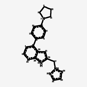 c1cc(-c2ccc(N3CCCC3)cc2)c2cc(Cn3nccn3)[nH]c2n1